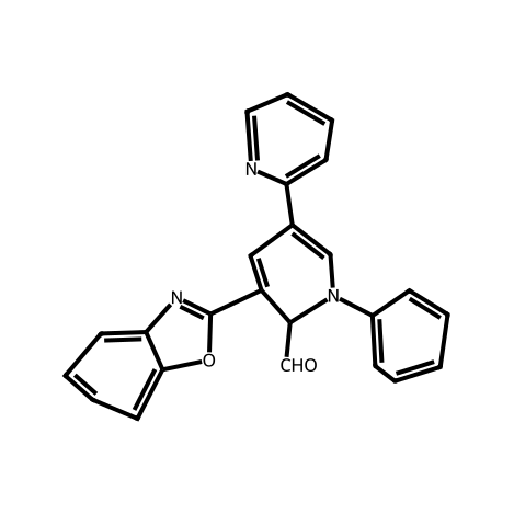 O=CC1C(c2nc3ccccc3o2)=CC(c2ccccn2)=CN1c1ccccc1